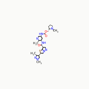 Cc1ncc(NC(=O)OC[C@@H]2CCCN2C)cc1NC(=O)c1cnn2cc(-c3cn(C)nc3C)sc12